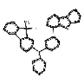 CC1(C)c2ccccc2-c2ccc(N(c3ccccc3)c3cccc(-c4cccc5c4sc4ccccc45)c3)cc21